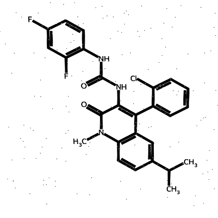 CC(C)c1ccc2c(c1)c(-c1ccccc1Cl)c(NC(=O)Nc1ccc(F)cc1F)c(=O)n2C